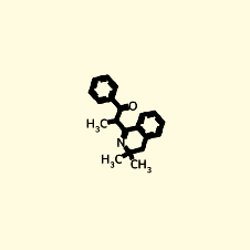 CC(C(=O)c1ccccc1)C1=NC(C)(C)Cc2ccccc21